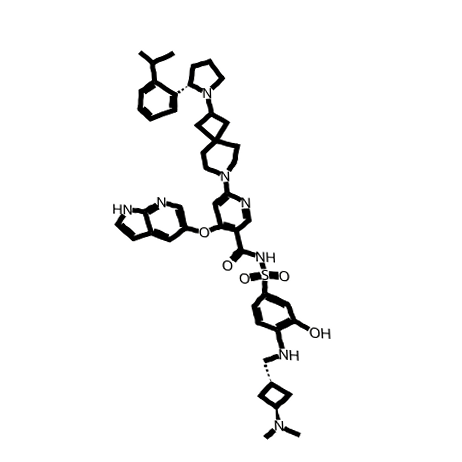 CC(C)c1ccccc1[C@@H]1CCCN1C1CC2(CCN(c3cc(Oc4cnc5[nH]ccc5c4)c(C(=O)NS(=O)(=O)c4ccc(NC[C@H]5C[C@H](N(C)C)C5)c(O)c4)cn3)CC2)C1